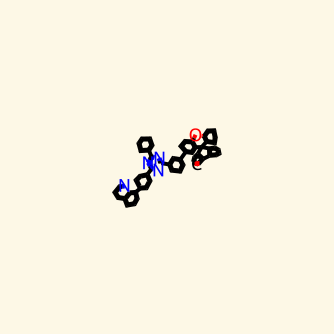 c1ccc(-c2nc(-c3ccc(-c4cccc5cccnc45)cc3)nc(-c3cccc(-c4ccc5c(c4)C4(c6ccccc6O5)c5ccccc5-c5ccccc54)c3)n2)cc1